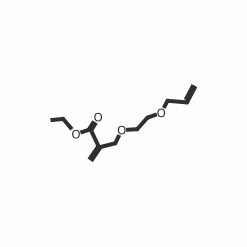 C=CCOCCOCC(=C)C(=O)OCC